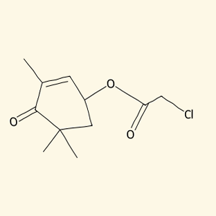 CC1=CC(OC(=O)CCl)CC(C)(C)C1=O